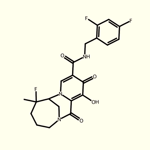 CC1(F)CCCN2CC1n1cc(C(=O)NCc3ccc(F)cc3F)c(=O)c(O)c1C2=O